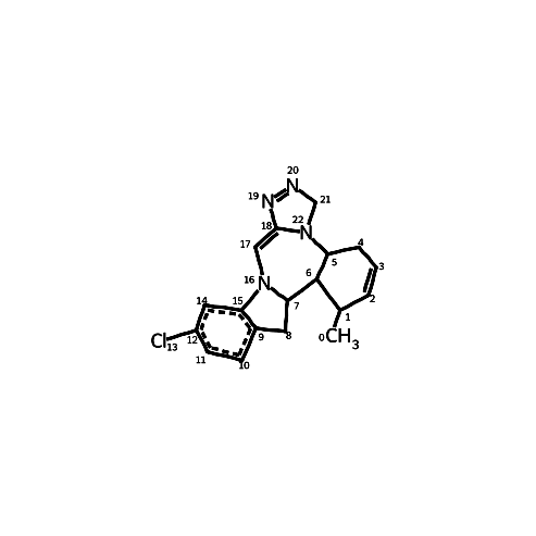 CC1C=CCC2C1C1Cc3ccc(Cl)cc3N1C=C1N=NCN12